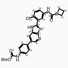 COC(=O)Nc1ccc(-c2cnc3nc(-c4cc(NC(=O)N5CCC5)ccc4Cl)[nH]c3c2)cc1